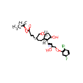 CC(C)OC(=O)CCC[C@@H]1CC[C@@H]2[C@@H](/C=C/[C@@H](O)COc3cc(F)ccc3F)[C@H](O)C[C@@H]2OC1